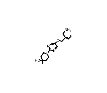 CC1(O)CCN(c2ncc(OC/C(=C/F)CN)cn2)CC1